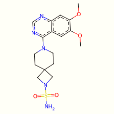 COc1cc2ncnc(N3CCC4(CC3)CN(S(N)(=O)=O)C4)c2cc1OC